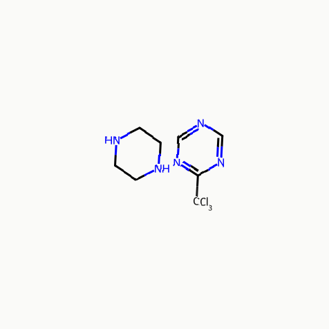 C1CNCCN1.ClC(Cl)(Cl)c1ncncn1